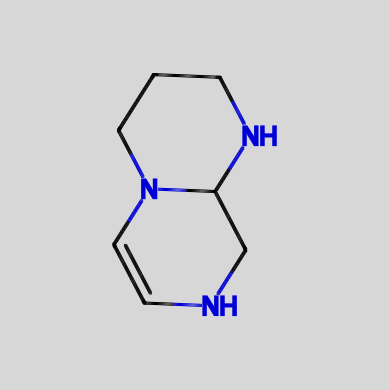 C1=CN2CCCNC2CN1